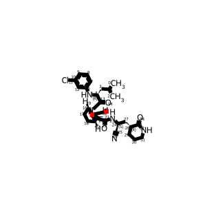 CC(C)C[C@@H](Nc1cccc(Cl)c1)C(=O)N1[C@H]2CC[C@@H]([C@@H]1C(=O)N[C@H](C#N)C[C@H]1CCCNC1=O)C(F)(F)C2